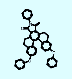 C=C1c2c3c(c4c(c2C(=O)N1c1ccccc1)CCc1cc(Oc2ccccc2)ccc1-4)-c1ccc(Oc2ccccc2)cc1CC3